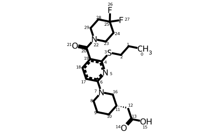 CCCSc1nc(N2CCC[C@@H](CC(=O)O)C2)ccc1C(=O)N1CCC(F)(F)CC1